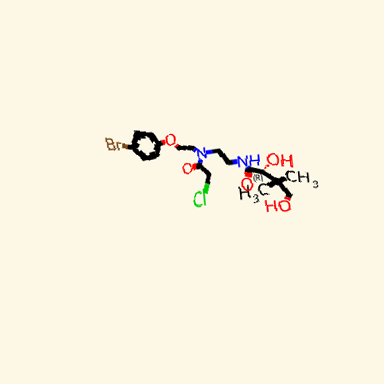 CC(C)(CO)[C@@H](O)C(=O)NCCN(CCOc1ccc(Br)cc1)C(=O)CCl